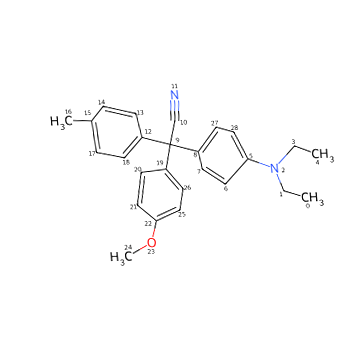 CCN(CC)c1ccc(C(C#N)(c2ccc(C)cc2)c2ccc(OC)cc2)cc1